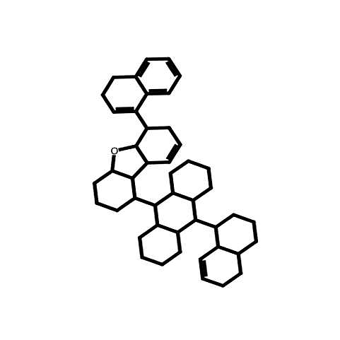 C1=CC2C(CC1)CCCC2C1C2CCCCC2C(C2CCCC3OC4C(C5=CCCc6ccccc65)CC=CC4C32)C2CCCCC21